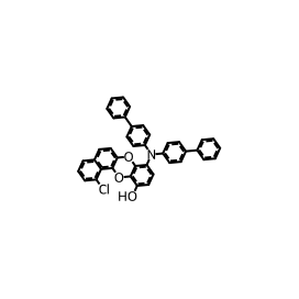 Oc1ccc(N(c2ccc(-c3ccccc3)cc2)c2ccc(-c3ccccc3)cc2)c2c1Oc1c(ccc3cccc(Cl)c13)O2